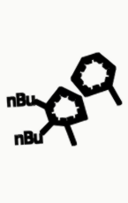 CCCCc1cccc(C)c1CCCC.Cc1ccccc1